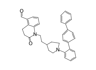 O=Cc1cccc2c1CCC(=O)N2CCC1CCN(c2ccccc2-c2ccc(-c3ccccc3)cc2)CC1